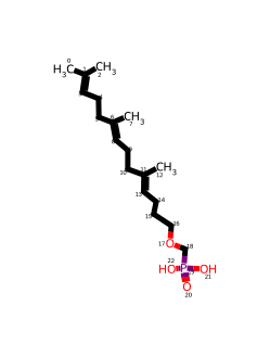 CC(C)=CCC/C(C)=C/CC/C(C)=C/CCCOCP(=O)(O)O